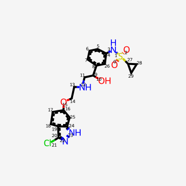 O=S(=O)(Nc1cccc(C(O)CNCCOc2ccc3c(Cl)n[nH]c3c2)c1)C1CC1